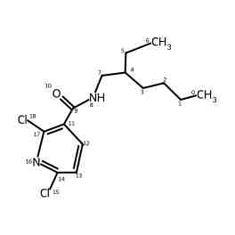 CCCCC(CC)CNC(=O)c1ccc(Cl)nc1Cl